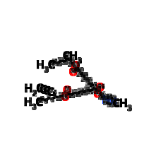 C=C=C=C=CC(CCCCC)CCOC(=O)CCCCCCCC(CCCCCCCC(=O)OCCC(C)CCCCC)C(=O)OCCN1CCN(C)CC1